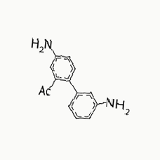 CC(=O)c1cc(N)ccc1-c1cccc(N)c1